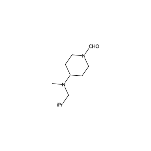 CC(C)CN(C)C1CCN(C=O)CC1